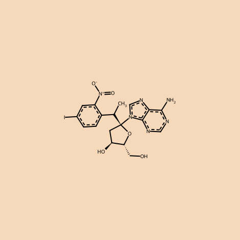 CC(c1ccc(I)cc1[N+](=O)[O-])[C@]1(n2cnc3c(N)ncnc32)C[C@H](O)[C@@H](CO)O1